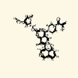 C=C(F)C(=O)N1CCN(c2nc(OC[C@@H]3C[C@@H](OC)CN3C)nc3c(F)c(-c4cncc5cccc(Cl)c45)ncc23)CC1